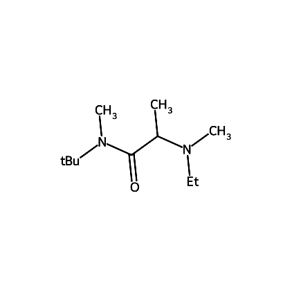 CCN(C)C(C)C(=O)N(C)C(C)(C)C